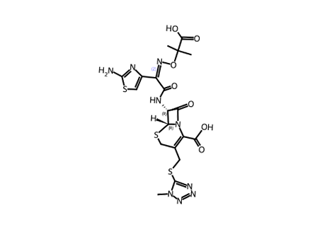 Cn1nnnc1SCC1=C(C(=O)O)N2C(=O)[C@@H](NC(=O)/C(=N\OC(C)(C)C(=O)O)c3csc(N)n3)[C@H]2SC1